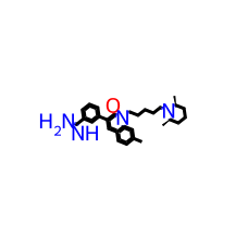 Cc1ccc2cc(-c3cccc(C(=N)N)c3)c(=O)n(CCCCCN3[C@H](C)CCC[C@@H]3C)c2c1